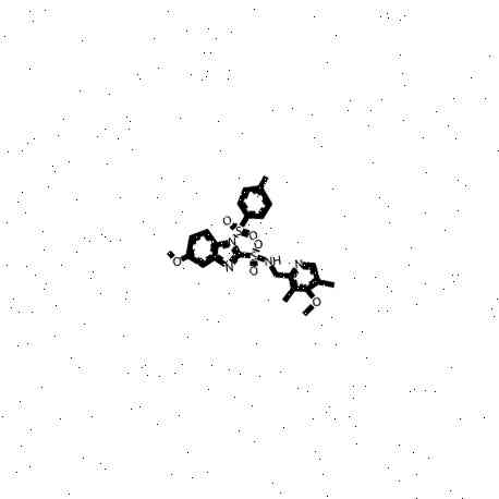 COc1ccc2c(c1)nc(S(=O)(=O)NCc1ncc(C)c(OC)c1C)n2S(=O)(=O)c1ccc(C)cc1